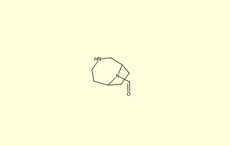 O=CN1C2CCNCC1CC2